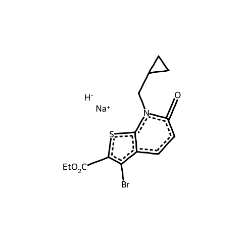 CCOC(=O)c1sc2c(ccc(=O)n2CC2CC2)c1Br.[H-].[Na+]